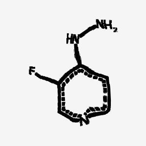 NNc1ccncc1F